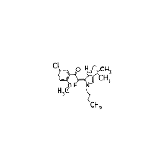 CCCCN1C=C(C(C)(C)C)SC1=C(F)C(=O)c1cc(Cl)ccc1OC